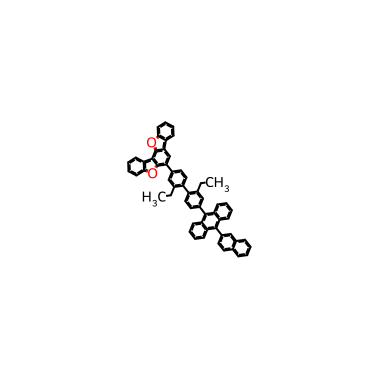 CCc1cc(-c2c3ccccc3c(-c3ccc4ccccc4c3)c3ccccc23)ccc1-c1ccc(-c2cc3c4ccccc4oc3c3c2oc2ccccc23)cc1CC